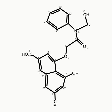 O=C(O)c1cc(OCC(=O)N(CO)c2ccccc2)c2c(Cl)cc(Cl)cc2c1